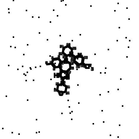 Cc1ccc2c(c1)-c1[nH]c(N3CCOCC3)nc1CCN2C1C[C]CCN1c1ccc(C(F)(F)F)cn1